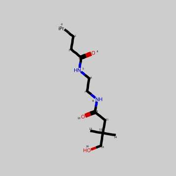 CC(C)CCC(=O)NCCNC(=O)CC(C)(C)CO